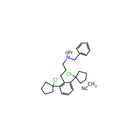 CC#N.CCCN(CCCc1c(C2(Cl)CCCC2)cccc1C1(Cl)CCCC1)Cc1ccccc1